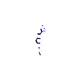 C=CCN(S)C(=O)Nc1ccc2ncc(-c3cn(C)nn3)nc2n1